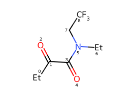 CCC(=O)C(=O)N(CC)CC(F)(F)F